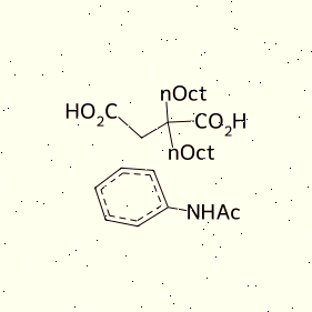 CC(=O)Nc1ccccc1.CCCCCCCCC(CCCCCCCC)(CC(=O)O)C(=O)O